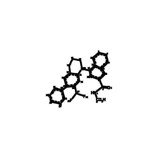 O=C(O)NC(=O)c1cc2ccccc2c(N2CCCc3cc(-c4cncnc4)c(C(F)F)cc32)n1